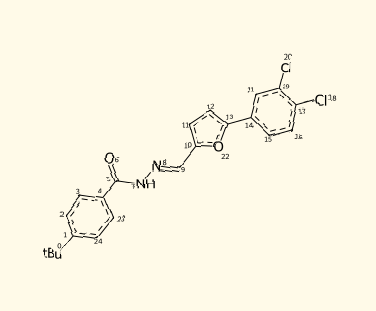 CC(C)(C)c1ccc(C(=O)N/N=C/c2ccc(-c3ccc(Cl)c(Cl)c3)o2)cc1